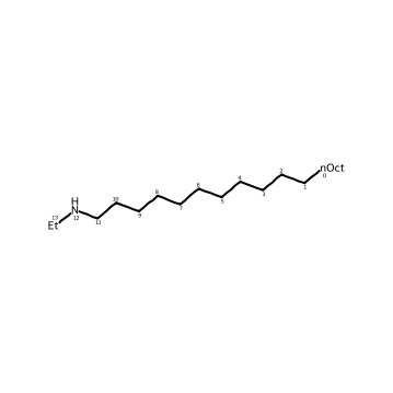 CCCCCCCCCCCCCCCCCCCNCC